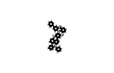 c1ccc(-c2ccc3c(c2)Oc2cccc4c2B3c2cc3c(cc2O4)-c2ccc(N(c4ccccc4)c4ccccc4)c4cccc(c24)S3)cc1